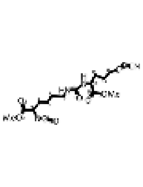 COC(=O)C(CCCCNC(=O)NC(CCCCOC#N)C(=O)OC)N=C=O